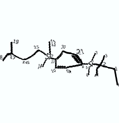 CCC(C)(C)[Si](C)(C)c1ccc([Si](C)(C)CCC(C)C)cc1